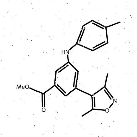 COC(=O)c1cc(Nc2ccc(C)cc2)cc(-c2c(C)noc2C)c1